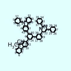 CC1(C)c2ccccc2-c2ccc(-c3cc(-c4cccc(-c5cc(-c6ccccc6)nc(-c6ccccc6)n5)c4)cc(-c4ccc5c(c4)c4ccccc4n5-c4ccccc4)c3)cc21